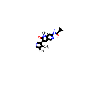 Cc1c(C#N)cncc1-c1cc2cnc(NC(=O)C3CC3)cc2n(C)c1=O